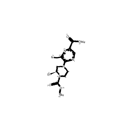 CC[C@H]1CN(c2ncc(C(=O)OC)nc2Br)CCN1C(=O)OC(C)(C)C